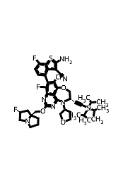 CC(C)[Si](C#C[C@H]1COc2c(Cl)c(-c3ccc(F)c4sc(N)c(C#N)c34)c(F)c3nc(OC[C@@]45CCCN4C[C@H](F)C5)nc(c23)N1C1CCOC1)(C(C)C)C(C)C